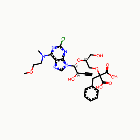 C#C[C@@H](O)[C@@H](O[C@@H](CO)COC(Cc1ccccc1)(C(=O)O)C(=O)O)n1cnc2c(N(C)CCOC)nc(Cl)nc21